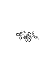 CCOC(=O)c1ccc(CC2(C)C(CC3Oc4ccccc4N3C)=[N+](C)c3ccc4ccccc4c32)o1